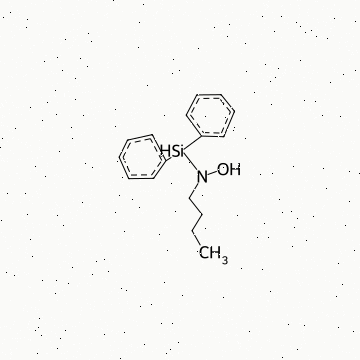 CCCCN(O)[SiH](c1ccccc1)c1ccccc1